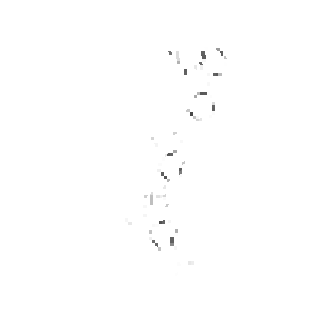 CC(NC(=O)c1ccc2c(c1)OCCN2Cc1ccc(-c2ccccc2C(N)=O)cc1)c1ccc(SC(F)(F)F)cc1